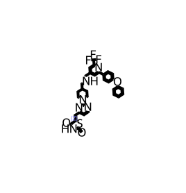 O=C1NC(=O)/C(=C/c2ccnc(N3CCC(CNCc4cc(-c5ccc(Oc6ccccc6)cc5)nc(C(F)(F)F)c4)CC3)n2)S1